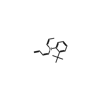 C=C/C=C\N(/C=C\C)c1ccccc1C(C)(C)C